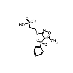 CN1ON=C(OCCP(=O)(O)O)C1S(=O)(=O)c1ccccc1